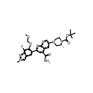 COCOc1c(-c2cc(C(N)=O)c3cc(N4C[C@@H](C)N(C(=O)OC(C)(C)C)[C@@H](C)C4)cnc3n2)cc2cn(C)nc2c1F